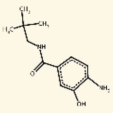 CC(C)(C)CNC(=O)c1ccc(N)c(O)c1